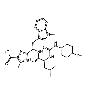 Cc1[nH]c([C@@H](Cc2cn(C)c3ccccc23)NC(=O)[C@H](CC(C)C)NC(=O)NC2CCC(O)CC2)nc1C(=O)O